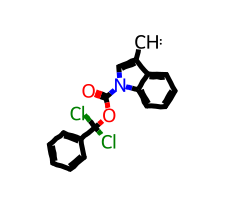 [CH]c1cn(C(=O)OC(Cl)(Cl)c2ccccc2)c2ccccc12